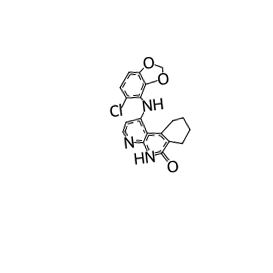 O=c1[nH]c2nccc(Nc3c(Cl)ccc4c3OCO4)c2c2c1CCCC2